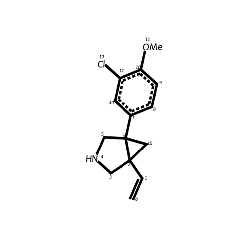 C=CC12CNCC1(c1ccc(OC)c(Cl)c1)C2